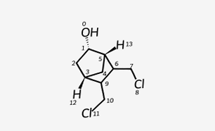 O[C@H]1C[C@@H]2C[C@H]1C(CCl)C2CCl